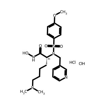 COc1ccc(S(=O)(=O)N(Cc2cccnc2)[C@H](CCCCN(C)C)C(=O)NO)cc1.Cl.Cl